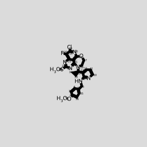 COc1ccc(CNc2ncccc2C2(N3CCOc4nc(Cl)c(F)c5nc(SC)nc3c45)CC2)cc1